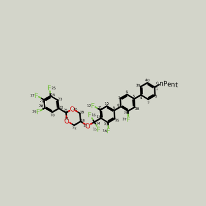 CCCCCc1ccc(-c2ccc(-c3cc(F)c(C(F)(F)OC4COC(c5cc(F)c(F)c(F)c5)OC4)c(F)c3)c(F)c2)cc1